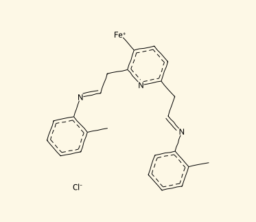 Cc1ccccc1N=CCc1cc[c]([Fe+])c(CC=Nc2ccccc2C)n1.[Cl-]